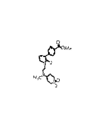 COC(=O)c1ccc(-c2cccn(CCN(C)C3CCS(=O)(=O)CC3)c2=O)cc1